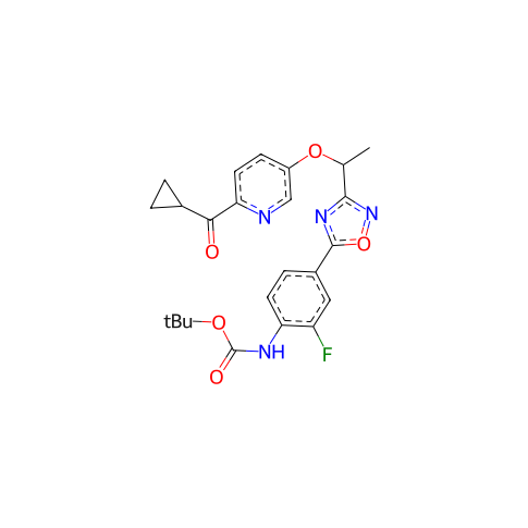 CC(Oc1ccc(C(=O)C2CC2)nc1)c1noc(-c2ccc(NC(=O)OC(C)(C)C)c(F)c2)n1